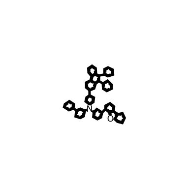 c1ccc(-c2cccc(N(c3ccc(-c4ccc5c(c4)c(-c4ccccc4)c(-c4ccccc4)c4ccccc45)cc3)c3cccc(-c4cccc5c4oc4ccccc45)c3)c2)cc1